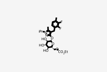 CCOC(=O)OC[C@H]1O[C@@H](Oc2nn(C(C)C)c(C)c2Cc2ccc(C)c(F)c2F)[C@H](O)[C@@H](O)[C@@H]1O